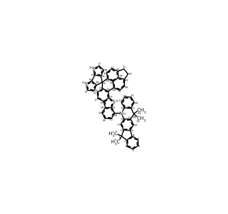 CC1(C)c2ccccc2-c2cc3c(cc21)N(c1cccc2c1sc1c4c(ccc12)C1(c2ccsc2-c2sccc21)c1ccc2c5c(ccc-4c15)CC2)c1ccccc1C3(C)C